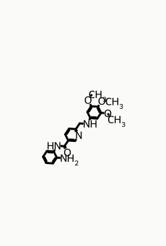 COc1cc(NCc2ccc(C(=O)Nc3ccccc3N)cn2)cc(OC)c1OC